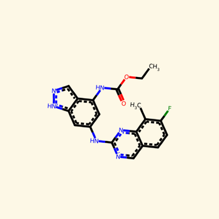 CCOC(=O)Nc1cc(Nc2ncc3ccc(F)c(C)c3n2)cc2[nH]ncc12